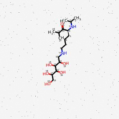 CC(C)N[C@@H](CCCCNCC(O)C(O)C(O)C(O)CO)C(=O)C(C)C